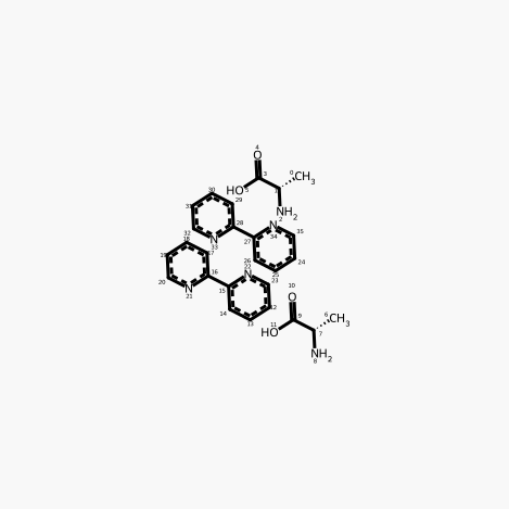 C[C@H](N)C(=O)O.C[C@H](N)C(=O)O.c1ccc(-c2ccccn2)nc1.c1ccc(-c2ccccn2)nc1